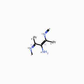 C=N/C(=C(N)\C(=N/C)C(C)C)C(C)C